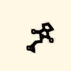 O=C1C2CCCC2C(=O)N1CCC1CO1